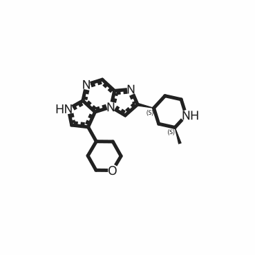 C[C@H]1C[C@@H](c2cn3c(cnc4[nH]cc(C5CCOCC5)c43)n2)CCN1